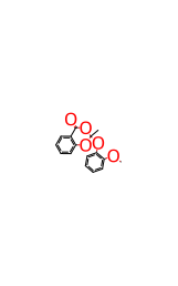 COc1ccccc1OC1(C)OC(=O)c2ccccc2O1